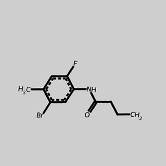 CCCC(=O)Nc1cc(Br)c(C)cc1F